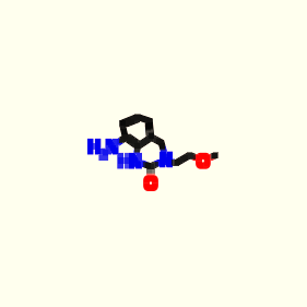 COCCN1Cc2cccc(N)c2NC1=O